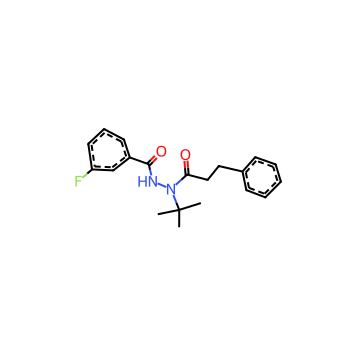 CC(C)(C)N(NC(=O)c1cccc(F)c1)C(=O)CCc1ccccc1